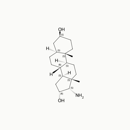 C[C@]12CC[C@H](O)C[C@@H]1CC[C@@H]1[C@@H]2CC[C@]2(C)[C@H](N)[C@H](O)C[C@@H]12